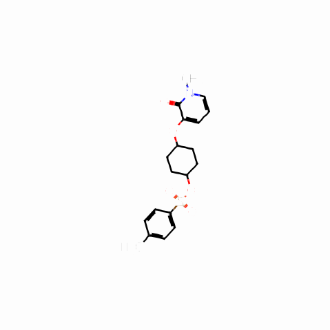 Cc1ccc(S(=O)(=O)OC2CCC(Oc3cccn(C)c3=O)CC2)cc1